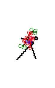 C=CCO[C@H]1O[C@H](COC(=O)OCC(Cl)(Cl)Cl)[C@@H](OP(=O)(Oc2ccccc2)Oc2ccccc2)[C@H](OC(=O)C[C@@H](CCCCCCCCCCC)OC(=O)CCCCCCCCCCCCC)[C@H]1NC(=O)OCC(Cl)(Cl)Cl